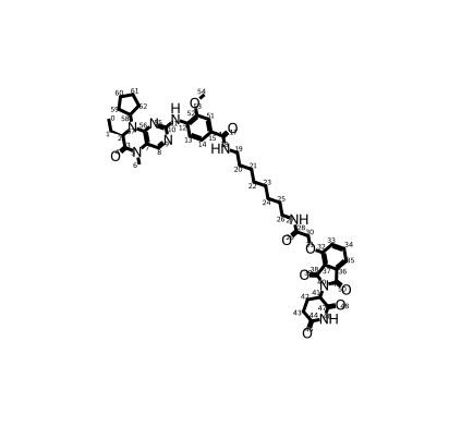 CC[C@@H]1C(=O)N(C)c2cnc(Nc3ccc(C(=O)NCCCCCCCCNC(=O)COc4cccc5c4C(=O)N(C4CCC(=O)NC4=O)C5=O)cc3OC)nc2N1C1CCCC1